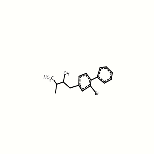 CC(C(=O)O)C(O)Cc1ccc(-c2ccccc2)c(Br)c1